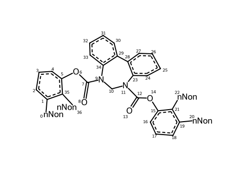 CCCCCCCCCc1cccc(OC(=O)N2CN(C(=O)Oc3cccc(CCCCCCCCC)c3CCCCCCCCC)c3ccccc3-c3ccccc32)c1CCCCCCCCC